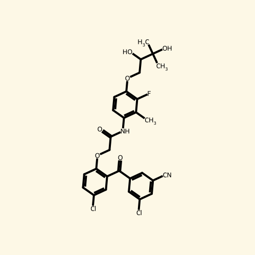 Cc1c(NC(=O)COc2ccc(Cl)cc2C(=O)c2cc(Cl)cc(C#N)c2)ccc(OCC(O)C(C)(C)O)c1F